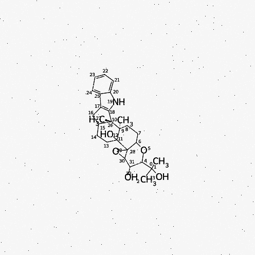 CC(C)(O)C1OC2CC[C@@]3(C)C(O)(CCC4Cc5c([nH]c6ccccc56)[C@@]43C)C23OC3C1O